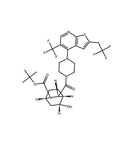 CC(C)(C)OC(=O)N1[C@H]2CC[C@H]([C@H](O)C2)[C@H]1C(=O)N1CCN(c2c(C(F)(F)F)cnc3sc(CC(F)(F)F)cc23)CC1